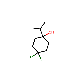 CC(C)C1(O)CCC(F)(F)CC1